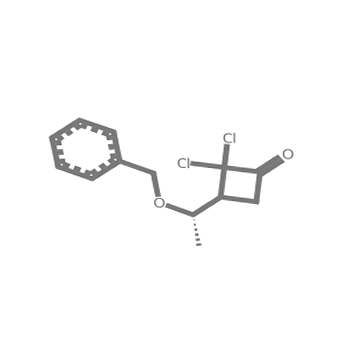 C[C@H](OCc1ccccc1)C1CC(=O)C1(Cl)Cl